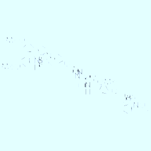 COC(=O)C(Cc1ccc(OCCOS(=O)(=O)c2ccccc2[N+](=O)[O-])cc1)NC(=O)C(C(C)C)n1cc(COc2ccc3nc(S(=O)(=O)NC(c4ccccc4)(c4ccc(OC)cc4)c4ccc(OC)cc4)sc3c2)nn1